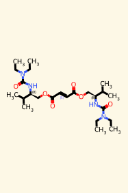 CCN(CC)C(=O)N[C@@H](COC(=O)/C=C/C(=O)OC[C@H](NC(=O)N(CC)CC)C(C)C)C(C)C